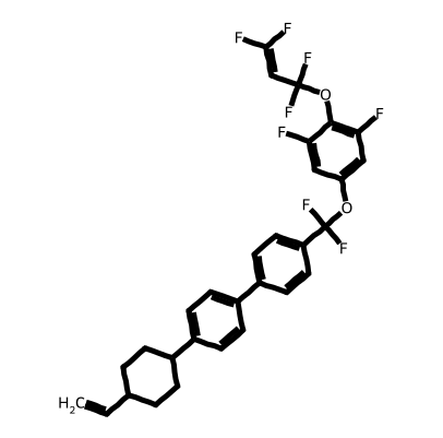 C=CC1CCC(c2ccc(-c3ccc(C(F)(F)Oc4cc(F)c(OC(F)(F)C=C(F)F)c(F)c4)cc3)cc2)CC1